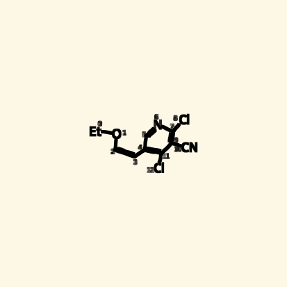 CCO/C=C\c1cnc(Cl)c(C#N)c1Cl